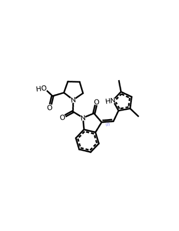 Cc1cc(C)c(/C=C2\C(=O)N(C(=O)N3CCCC3C(=O)O)c3ccccc32)[nH]1